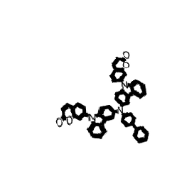 O=c1ccc2ccc(-n3c4ccccc4c4cc(N(c5ccc(-c6ccccc6)cc5)c5ccc6c(c5)c5ccccc5n6-c5ccc6ccc(=O)oc6c5)ccc43)cc2o1